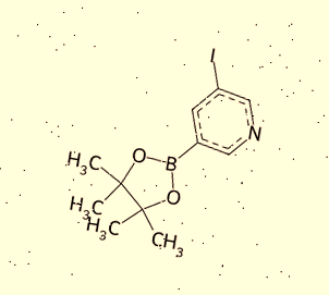 CC1(C)OB(c2cncc(I)c2)OC1(C)C